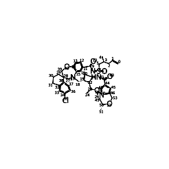 C=CC[C@H](C)C[S@](=O)(=NC(=O)c1ccc2c(c1)N(C[C@@H]1CC[C@H]1[C@H](C)OC)C[C@@]1(CCCc3cc(Cl)ccc31)CO2)NC(=O)c1cc2n(c1)C[C@@H](C)OC2